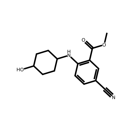 COC(=O)c1cc(C#N)ccc1NC1CCC(O)CC1